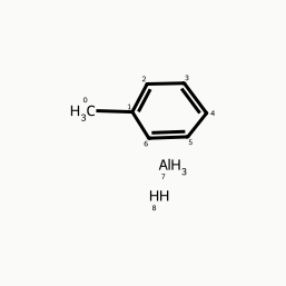 Cc1ccccc1.[AlH3].[HH]